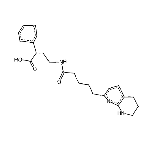 O=C(CCCCc1ccc2c(n1)NCCC2)NCC[C@H](C(=O)O)c1ccccc1